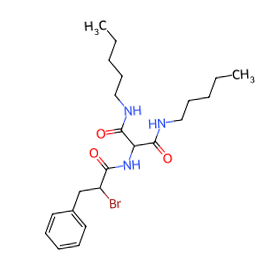 CCCCCNC(=O)C(NC(=O)C(Br)Cc1ccccc1)C(=O)NCCCCC